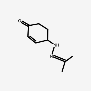 CC(C)=NNC1C=CC(=O)CC1